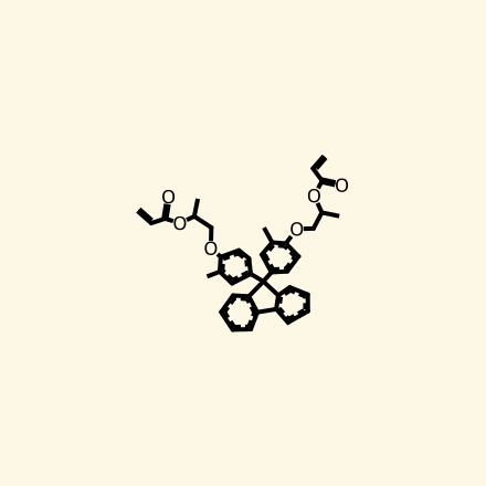 C=CC(=O)OC(C)COc1ccc(C2(c3ccc(OCC(C)OC(=O)C=C)c(C)c3)c3ccccc3-c3ccccc32)cc1C